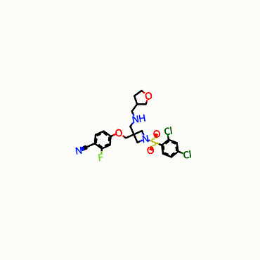 N#Cc1ccc(OCC2(CNCC3CCOC3)CN(S(=O)(=O)c3ccc(Cl)cc3Cl)C2)cc1F